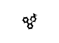 c1ccc(-c2ccccc2N2CCC3(CC2)CO3)cc1